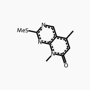 CSc1ncc2c(C)cc(=O)n(C)c2n1